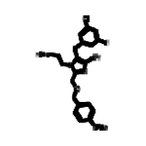 CCCCCCCCCCCCn1c(COCc2ccc(OC)cc2)nc(C(C)C)c1Sc1cc(Cl)cc(Cl)c1